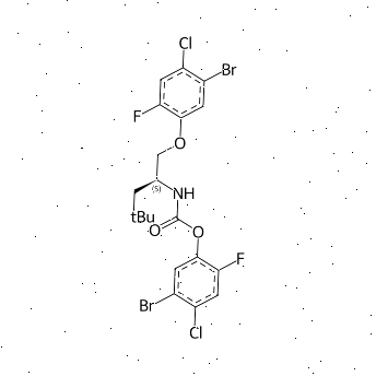 CC(C)(C)C[C@@H](COc1cc(Br)c(Cl)cc1F)NC(=O)Oc1cc(Br)c(Cl)cc1F